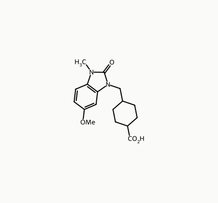 COc1ccc2c(c1)n(CC1CCC(C(=O)O)CC1)c(=O)n2C